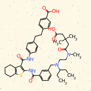 CCC(CC)N(CCN(C)C(=O)CC(C)(C)CC(=O)O)Cc1cccc(C(=O)Nc2sc3c(c2C(=O)Nc2ccc(CCc4ccc(C(=O)O)cc4)cc2)CCCC3)c1